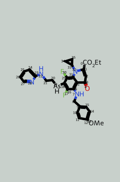 CCOC(=O)c1cc(=O)c2c(NCc3ccc(OC)cc3)c(F)c([AsH]CCNc3ccccn3)c(F)c2n1C1CC1